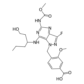 CCCC(CCO)Nc1nc(NC(=O)OC)nc2c(F)nn(Cc3ccc(C(=O)O)cc3OC)c12